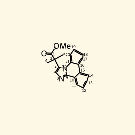 COC(=O)C(C)(C)c1cnc2c3ccccc3c3ccccc3n12